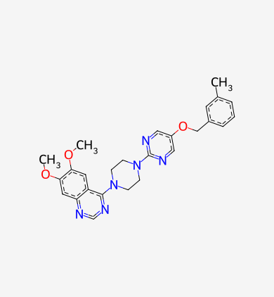 COc1cc2ncnc(N3CCN(c4ncc(OCc5cccc(C)c5)cn4)CC3)c2cc1OC